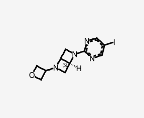 Ic1cnc(N2CC3[C@@H]2CN3C2COC2)nc1